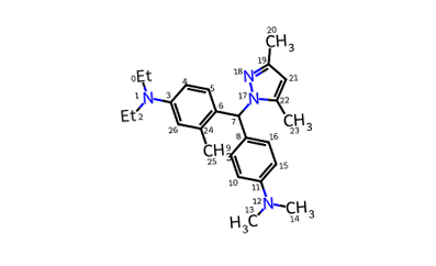 CCN(CC)c1ccc(C(c2ccc(N(C)C)cc2)n2nc(C)cc2C)c(C)c1